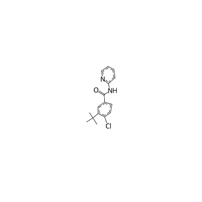 CC(C)(C)c1cc(C(=O)Nc2ccccn2)ccc1Cl